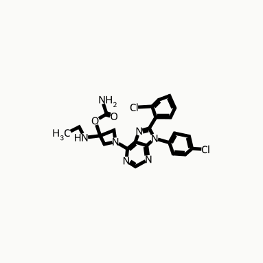 CCNC1(OC(N)=O)CN(c2ncnc3c2nc(-c2ccccc2Cl)n3-c2ccc(Cl)cc2)C1